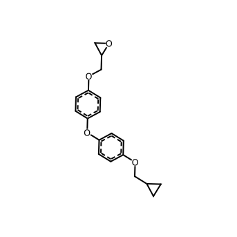 c1cc(Oc2ccc(OCC3CO3)cc2)ccc1OCC1CC1